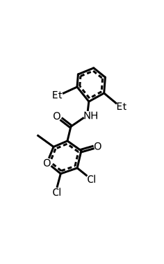 CCc1cccc(CC)c1NC(=O)c1c(C)oc(Cl)c(Cl)c1=O